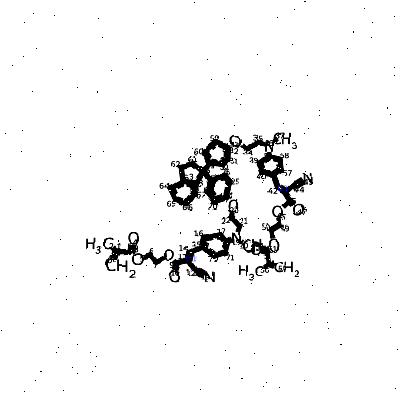 C=C(C)C(=O)OCCOC(=O)/C(C#N)=C/c1ccc(N(C)CCOc2ccc(C3(c4ccc(OCCN(C)c5ccc(/C=C(\C#N)C(=O)OCCOC(=O)C(=C)C)cc5)cc4)CCc4ccccc43)cc2)cc1